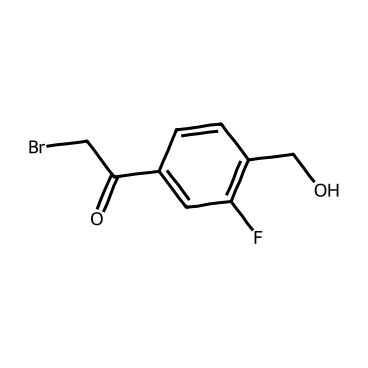 O=C(CBr)c1ccc(CO)c(F)c1